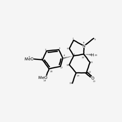 COc1ccc([C@]23CCN(C)[C@H]2CC(=O)C(C)C3)cc1OC